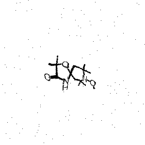 CON1C(C)(C)CC2(CC1(C)C)NC(=O)C(C)(C)O2